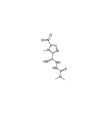 CN(C)C(=S)NNC(=N)c1ncc([N+](=O)[O-])n1C